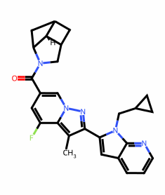 Cc1c(-c2cc3cccnc3n2CC2CC2)nn2cc(C(=O)N3CC4CC5CC3[C@H]54)cc(F)c12